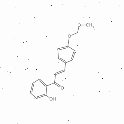 COCOc1ccc(/C=C/C(=O)c2ccccc2O)cc1